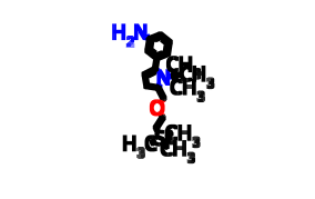 CC(C)(C)N1C(c2cccc(N)c2)=CCC1COCC[Si](C)(C)C